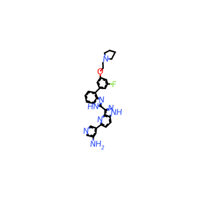 Nc1cncc(-c2ccc3[nH]nc(-c4nc5c(-c6cc(F)cc(OCCN7CCCC7)c6)cccc5[nH]4)c3n2)c1